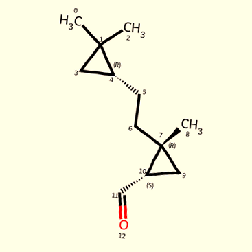 CC1(C)C[C@H]1CC[C@]1(C)C[C@@H]1C=O